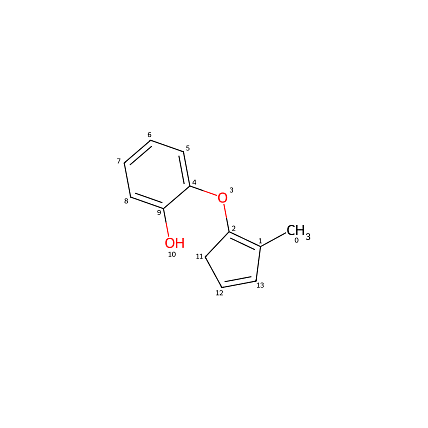 CC1=C(Oc2ccccc2O)CC=C1